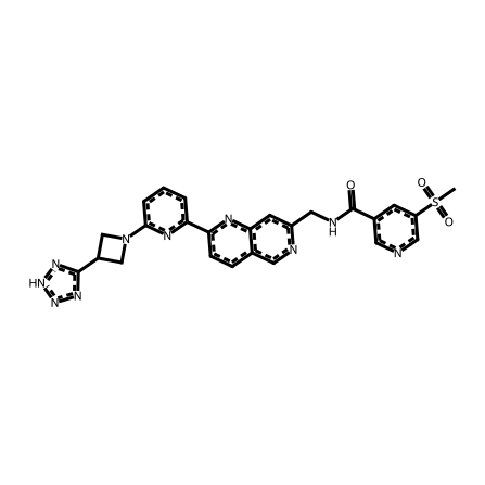 CS(=O)(=O)c1cncc(C(=O)NCc2cc3nc(-c4cccc(N5CC(c6nn[nH]n6)C5)n4)ccc3cn2)c1